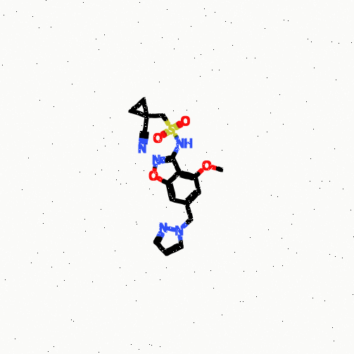 COc1cc(Cn2cccn2)cc2onc(NS(=O)(=O)CC3(C#N)CC3)c12